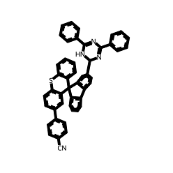 N#Cc1ccc(-c2ccc3c(c2)C2(c4ccccc4S3)c3ccccc3-c3ccc(C4N=C(c5ccccc5)N=C(c5ccccc5)N4)cc32)cc1